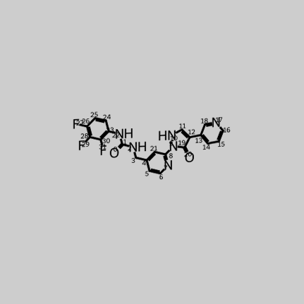 O=C(NCc1ccnc(-n2[nH]cc(-c3cccnc3)c2=O)c1)Nc1ccc(F)c(F)c1F